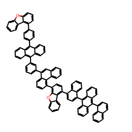 c1cc(-c2c3ccccc3c(-c3ccc(-c4cccc5oc6ccccc6c45)cc3)c3ccccc23)cc(-c2cc3ccccc3c3c(-c4ccc(-c5ccc(-c6c7ccccc7c(-c7cccc8ccccc78)c7ccccc67)c6ccccc56)c5c4oc4ccccc45)cccc23)c1